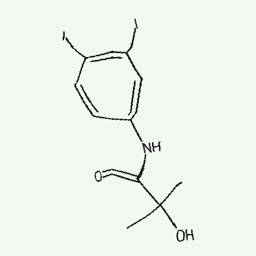 CC(C)(O)C(=O)Nc1ccc(I)c(I)c1